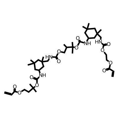 C=CC(=O)OCCOC(=O)NCC1(C)CC(NC(=O)OC(C)(C)C(C)COC(=O)NCC2(C)CC(NC(=O)OC(C)(C)CCOC(=O)C=C)CC(C)(C)C2)CC(C)(C)C1